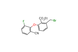 CCOC(=O)c1c(CBr)cccc1Oc1c(F)cccc1C#N